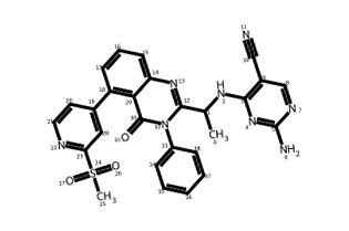 CC(Nc1nc(N)ncc1C#N)c1nc2cccc(-c3ccnc(S(C)(=O)=O)c3)c2c(=O)n1-c1ccccc1